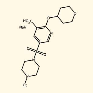 CCN1CCN(S(=O)(=O)c2cnc(OC3CCOCC3)c(C(=O)O)c2)CC1.[NaH]